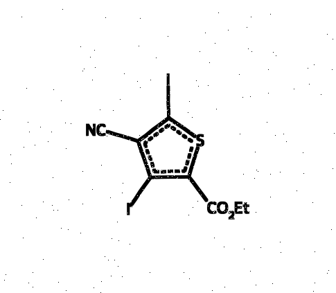 CCOC(=O)c1sc(I)c(C#N)c1I